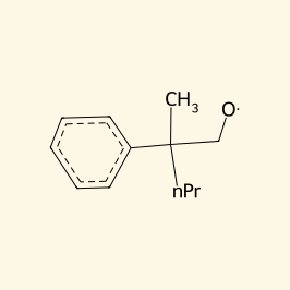 CCCC(C)(C[O])c1ccccc1